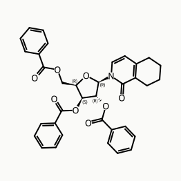 O=C(OC[C@H]1O[C@@H](n2ccc3c(c2=O)CCCC3)[C@H](OC(=O)c2ccccc2)[C@H]1OC(=O)c1ccccc1)c1ccccc1